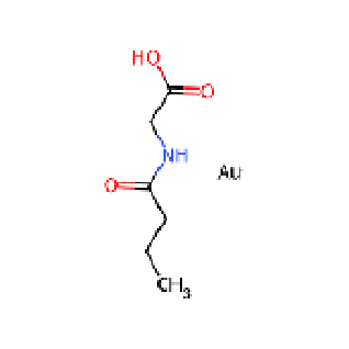 CCCC(=O)NCC(=O)O.[Au]